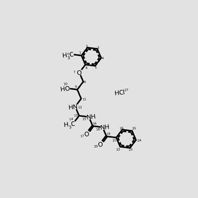 Cc1ccccc1OCC(O)CNC(C)NC(=O)NC(=O)c1ccccc1.Cl